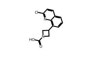 O=C(O)N1CC(c2cccc3ccc(Cl)nc23)C1